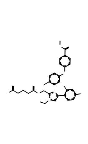 CCn1cc(-c2ccc(Cl)cc2Cl)nc1[C@H](Cc1ccc(Oc2ccc(C(=O)OC)cc2)cc1)NC(=O)CCCC(=O)O